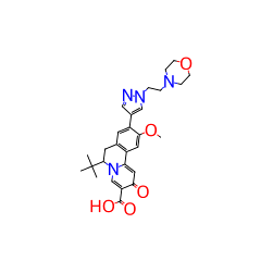 COc1cc2c(cc1-c1cnn(CCN3CCOCC3)c1)CC(C(C)(C)C)n1cc(C(=O)O)c(=O)cc1-2